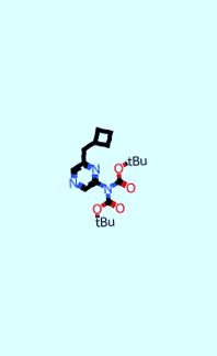 CC(C)(C)OC(=O)N(C(=O)OC(C)(C)C)c1cncc(CC2CCC2)n1